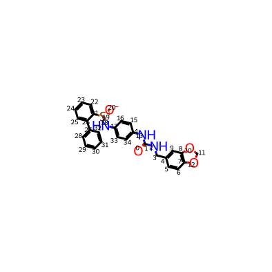 O=C(NCc1ccc2c(c1)OCO2)Nc1ccc(N[S+]([O-])c2ccccc2-c2ccccc2)cc1